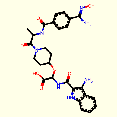 CC(NC(=O)c1ccc(/C(N)=N/O)cc1)C(=O)N1CCC(OC(NC(=O)c2[nH]c3ccccc3c2N)C(=O)O)CC1